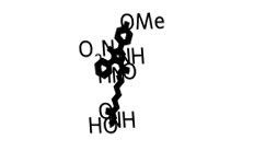 COc1ccc(-c2[nH]c(C(=O)NCCCCCC(=O)NO)c(-c3ccccc3)c2[N+](=O)[O-])cc1